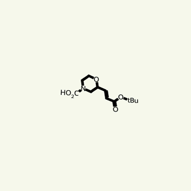 CC(C)(C)OC(=O)C=CC1CN(C(=O)O)CCO1